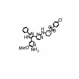 COc1cc(-c2[nH]c(-c3ccccc3)nc2-c2ccnc(N[C@@H]3CCCN(S(=O)(=O)c4ccc(Cl)cc4)C3)n2)cnc1N